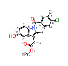 CCCOC(=O)[C@@H](C)c1c(C)n(C(=O)c2ccc(Cl)c(Cl)c2)c2ccc(O)cc12